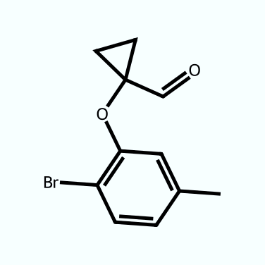 Cc1ccc(Br)c(OC2(C=O)CC2)c1